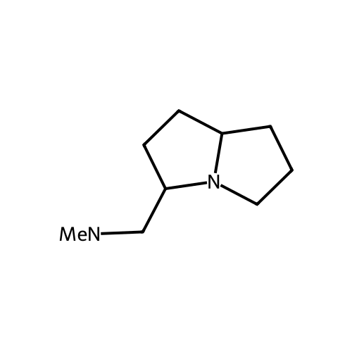 CNCC1CCC2CCCN21